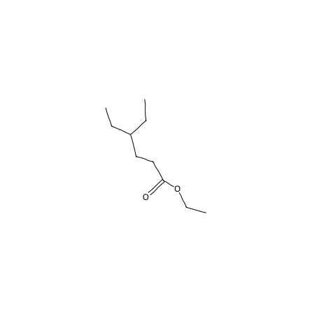 CCOC(=O)CCC(CC)CC